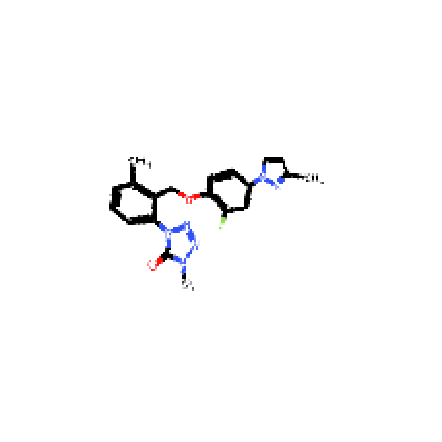 Cc1ccn(-c2ccc(OCc3c(C)cccc3-n3nnn(C)c3=O)c(F)c2)n1